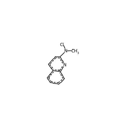 CN(Cl)c1ccc2ccccc2n1